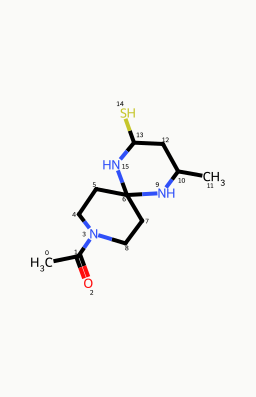 CC(=O)N1CCC2(CC1)NC(C)CC(S)N2